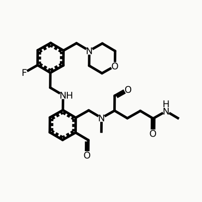 CNC(=O)CCC(C=O)N(C)Cc1c(C=O)cccc1NCc1cc(CN2CCOCC2)ccc1F